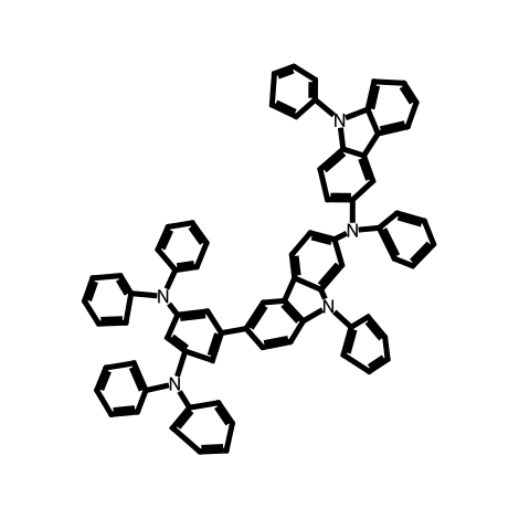 c1ccc(N(c2ccccc2)c2cc(-c3ccc4c(c3)c3ccc(N(c5ccccc5)c5ccc6c(c5)c5ccccc5n6-c5ccccc5)cc3n4-c3ccccc3)cc(N(c3ccccc3)c3ccccc3)c2)cc1